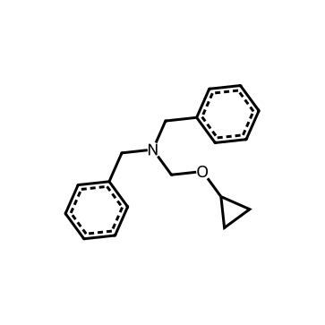 c1ccc(CN(COC2CC2)Cc2ccccc2)cc1